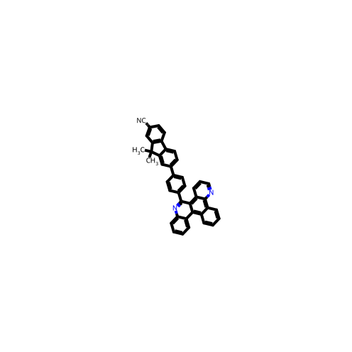 CC1(C)c2cc(C#N)ccc2-c2ccc(-c3ccc(-c4nc5ccccc5c5c6ccccc6c6ncccc6c45)cc3)cc21